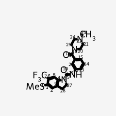 CSc1cc2c(cc1C(F)(F)F)N(C(=O)Nc1cccc(C(=O)N3CCN(C)CC3)c1)CC2